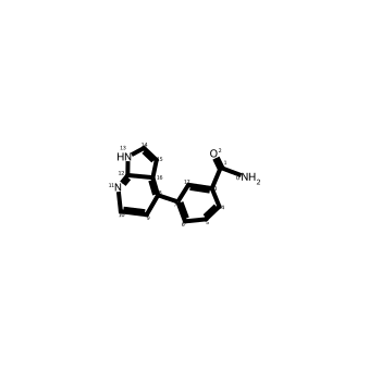 NC(=O)c1cccc(-c2ccnc3[nH]ccc23)c1